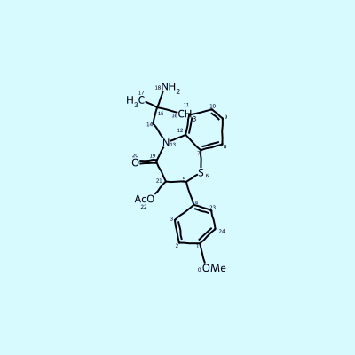 COc1ccc(C2Sc3ccccc3N(CC(C)(C)N)C(=O)C2OC(C)=O)cc1